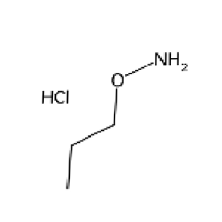 CCCON.Cl